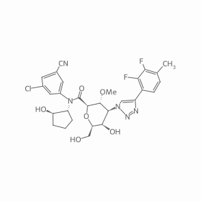 CO[C@@H]1[C@@H](n2cc(-c3ccc(C)c(F)c3F)nn2)[C@@H](O)[C@@H](CO)O[C@H]1C(=O)N(c1cc(Cl)cc(C#N)c1)[C@@H]1CCC[C@H]1O